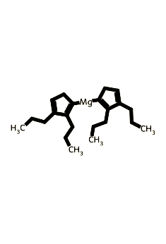 CCCC1=CC[C]([Mg][C]2=C(CCC)C(CCC)=CC2)=C1CCC